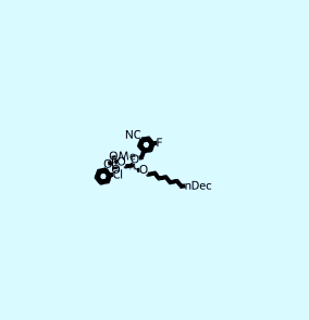 CCCCCCCCCCCCCCCCCOC[C@H](COP(=O)(OC)Oc1ccccc1Cl)OCc1cc(F)cc(C#N)c1